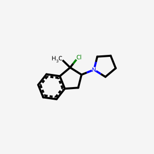 CC1(Cl)c2ccccc2CC1N1CCCC1